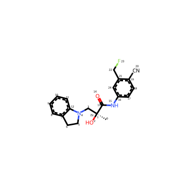 C[C@](O)(CN1CCc2ccccc21)C(=O)Nc1ccc(C#N)c(CF)c1